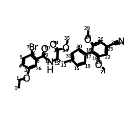 CCOc1ccc(Br)c(C(=O)N[C@@H](Cc2ccc(-c3c(OC)cc(C#N)cc3OC)cc2)C(=O)OC)c1